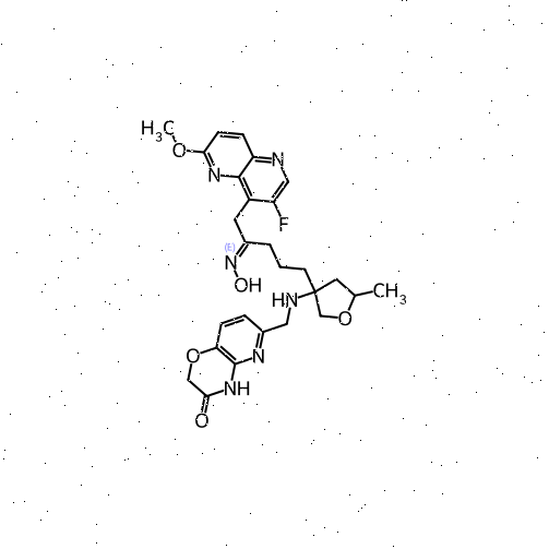 COc1ccc2ncc(F)c(C/C(CCCC3(NCc4ccc5c(n4)NC(=O)CO5)COC(C)C3)=N/O)c2n1